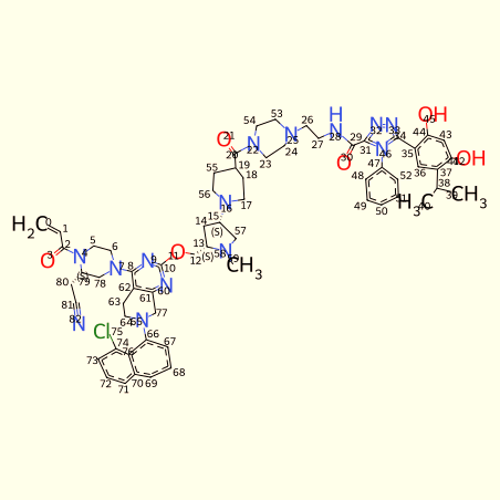 C=CC(=O)N1CCN(c2nc(OC[C@@H]3C[C@H](N4CCC(C(=O)N5CCN(CCNC(=O)c6nnc(-c7cc(C(C)C)c(O)cc7O)n6-c6ccccc6)CC5)CC4)CN3C)nc3c2CCN(c2cccc4cccc(Cl)c24)C3)C[C@@H]1CC#N